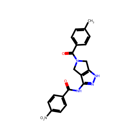 Cc1ccc(C(=O)N2Cc3[nH]nc(NC(=O)c4ccc([N+](=O)[O-])cc4)c3C2)cc1